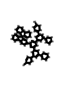 Ic1ccc(-c2cc(-c3ccccc3)cc(-c3nc(-c4cc(-c5ccccc5)cc(-c5ccc(I)cc5)c4)nc(-c4ccc5c(c4)C4(c6ccccc6-c6ccccc64)c4ccccc4-5)n3)c2)cc1